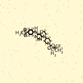 CC(C)(OC(=O)N1CCC(N2CCOc3c(Nc4ccc(S(C)(=O)=O)cc4)ncnc32)CC1)C(F)(F)F